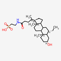 CC[C@H]1CC2C(CC[C@@]3(C)C2CC[C@@H]3[C@H](C)CCC(=O)NCCS(=O)(=O)O)[C@@]2(C)CC[C@@H](O)CC12